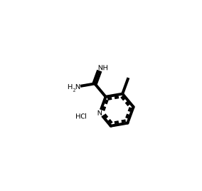 Cc1cccnc1C(=N)N.Cl